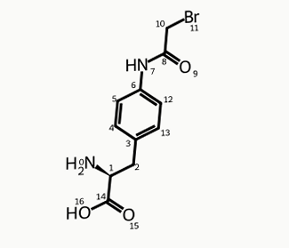 N[C@@H](Cc1ccc(NC(=O)CBr)cc1)C(=O)O